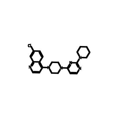 Clc1ccc2c(N3CCN(c4ccnc(N5CCCCC5)n4)CC3)ccnc2c1